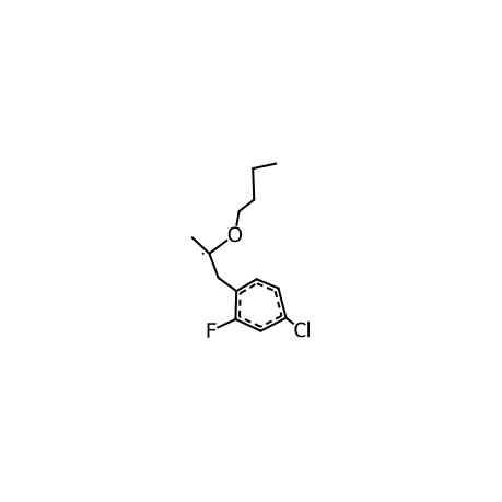 CCCCO[C](C)Cc1ccc(Cl)cc1F